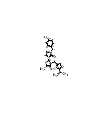 CC1=C(C)N(Cc2csc(C(C)C)n2)C(n2cnn(Cc3ccc(C)cc3)c2=O)S1